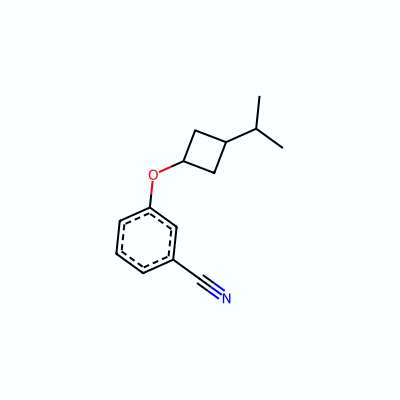 CC(C)C1CC(Oc2cccc(C#N)c2)C1